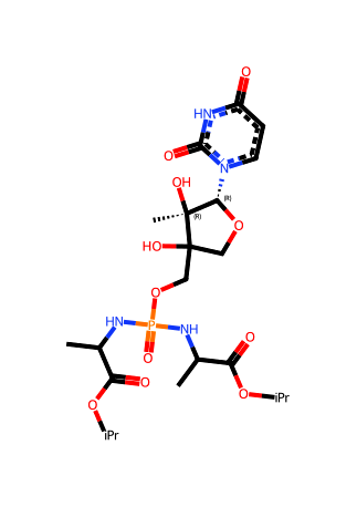 CC(C)OC(=O)C(C)NP(=O)(NC(C)C(=O)OC(C)C)OCC1(O)CO[C@@H](n2ccc(=O)[nH]c2=O)[C@]1(C)O